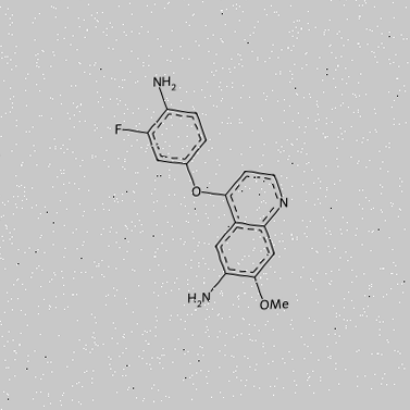 COc1cc2nccc(Oc3ccc(N)c(F)c3)c2cc1N